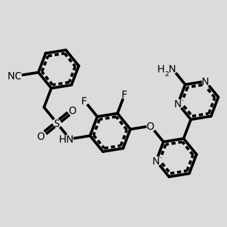 N#Cc1ccccc1CS(=O)(=O)Nc1ccc(Oc2ncccc2-c2ccnc(N)n2)c(F)c1F